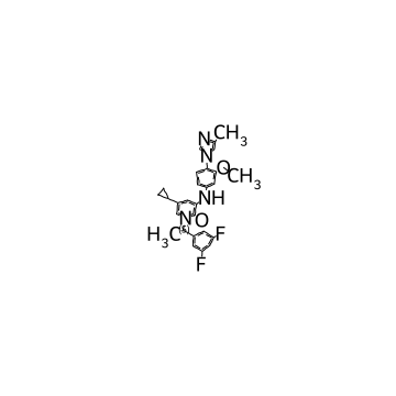 COc1cc(Nc2cc(C3CC3)cn([C@@H](C)c3cc(F)cc(F)c3)c2=O)ccc1-n1cnc(C)c1